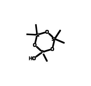 C[Si]1(C)O[Si](C)(C)O[P](C)(O)O1